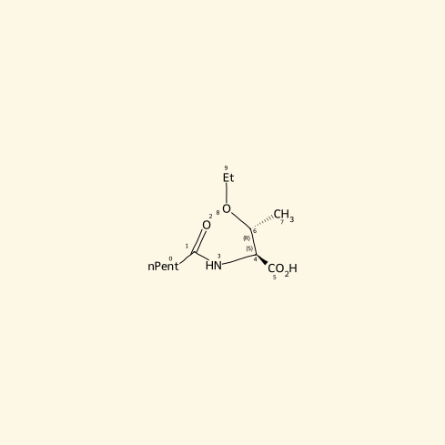 CCCCCC(=O)N[C@H](C(=O)O)[C@@H](C)OCC